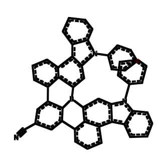 N#Cc1cc2c3c(c1)-c1cccc4c1c(cc1c4c4ccccc4n1-c1ccccc1)B3c1cc3c(c4cccc-2c14)c1ccccc1n3-c1ccccc1